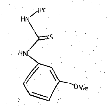 COc1cccc(NC(=S)NC(C)C)c1